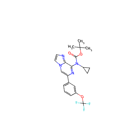 CC(C)(C)OC(=O)N(c1nc(-c2cccc(OC(F)(F)F)c2)cn2ccnc12)C1CC1